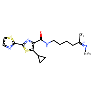 CN/N=C(\CCCCNC(=O)c1nc(-c2nccs2)sc1C1CC1)C(F)(F)F